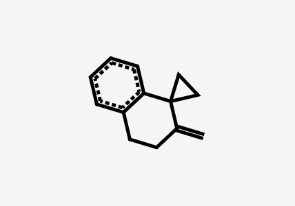 C=C1CCc2ccccc2C12CC2